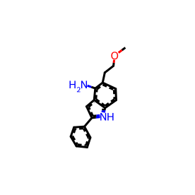 COCCc1ccc2[nH]c(-c3ccccc3)cc2c1N